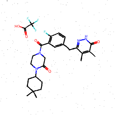 Cc1c(Cc2ccc(F)c(C(=O)N3CCN(C4CCC(C)(C)CC4)C(=O)C3)c2)n[nH]c(=O)c1C.O=C(O)C(F)(F)F